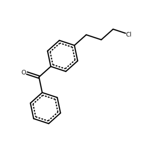 O=C(c1ccccc1)c1ccc(CCCCl)cc1